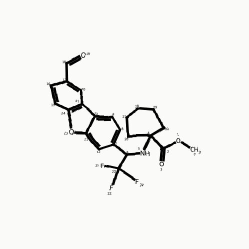 COC(=O)C1(NC(c2ccc3c(c2)oc2ccc(C=O)cc23)C(F)(F)F)CCCCC1